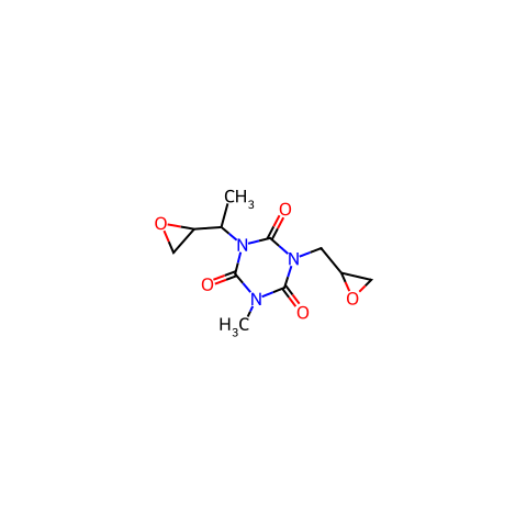 CC(C1CO1)n1c(=O)n(C)c(=O)n(CC2CO2)c1=O